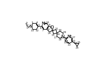 CSN1CC=C(c2cc3c(cn2)OC2(C3)CC3(CCN(c4ncc(C5CC5)cn4)CC3)C2)CC1